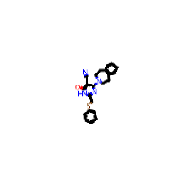 N#Cc1c(N2CCc3ccccc3CC2)nc(CSc2ccccc2)[nH]c1=O